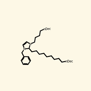 CCCCCCCCCCCCCCCCCCCC1N(CCCCCCCCCCCCCC)C=CN1Cc1ccccc1